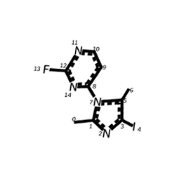 Cc1nc(I)c(C)n1-c1ccnc(F)n1